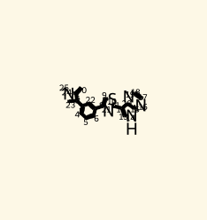 C=C1C(c2cccc(-c3csc(-c4c[nH]c5nccnc45)n3)c2)CN1C